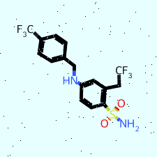 NS(=O)(=O)c1ccc(NCc2ccc(C(F)(F)F)cc2)cc1CC(F)(F)F